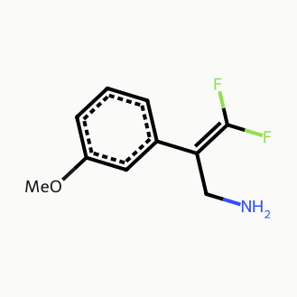 COc1cccc(C(CN)=C(F)F)c1